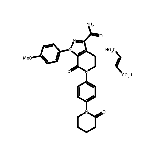 COc1ccc(-n2nc(C(N)=O)c3c2C(=O)N(c2ccc(N4CCCCC4=O)cc2)CC3)cc1.O=C(O)/C=C/C(=O)O